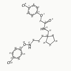 O=C(COc1ccc(Cl)cc1)NCC1(CCCNOc2ccc(Cl)cc2)CCCC1